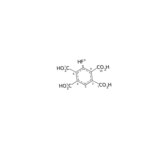 F.O=C(O)c1cc(C(=O)O)c(C(=O)O)cc1C(=O)O